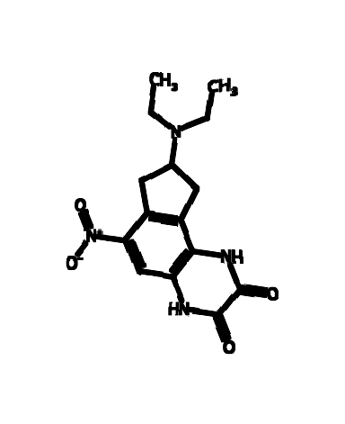 CCN(CC)C1Cc2c([N+](=O)[O-])cc3[nH]c(=O)c(=O)[nH]c3c2C1